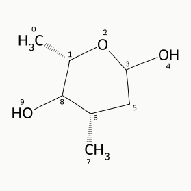 C[C@@H]1OC(O)C[C@H](C)C1O